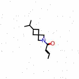 C/C=C/C(=O)N1CC2(CC(C(C)C)C2)C1